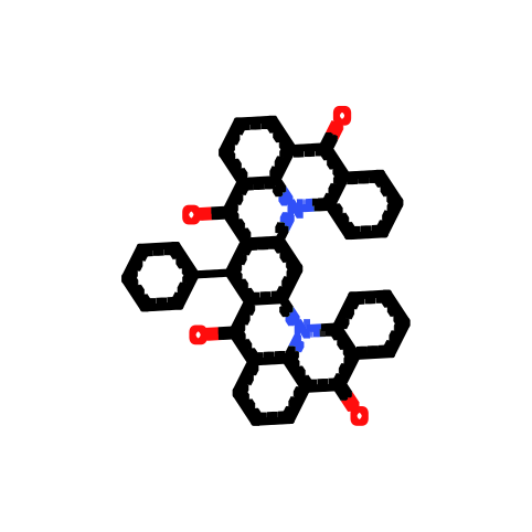 O=c1c2ccccc2n2c3cc4c(c(-c5ccccc5)c3c(=O)c3cccc1c32)c(=O)c1cccc2c(=O)c3ccccc3n4c21